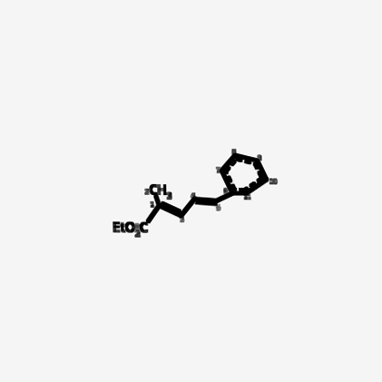 CCOC(=O)/C(C)=C/C=C/c1ccccc1